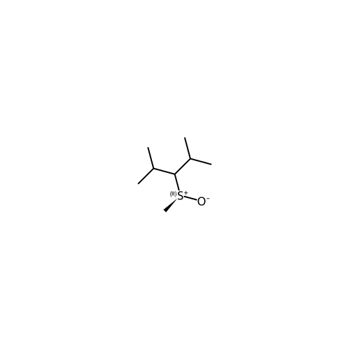 CC(C)C(C(C)C)[S@+](C)[O-]